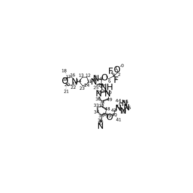 COCC(F)(F)COc1nn([C@H]2CC[C@H](N3C[C@@H](C)O[C@@H](C)C3)CC2)cc1Nc1ncc(-c2ccc(C#N)c(O[C@@H](C)Cn3cnnn3)c2)cn1